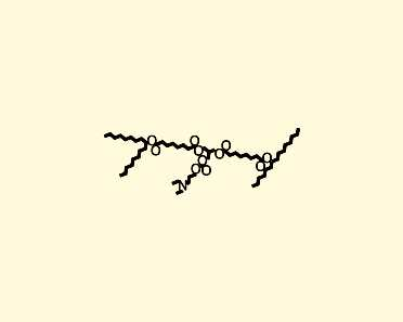 CCCCCCCCC(CCCCCC)OC(=O)CCCCCCC(=O)OCC(COC(=O)CCCCCCC(=O)OC(CCCCCCCC)CCCCCCCC)COC(=O)OCCCN(CC)CC